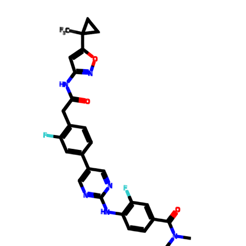 CN(C)C(=O)c1ccc(Nc2ncc(-c3ccc(CC(=O)Nc4cc(C5(C(F)(F)F)CC5)on4)c(F)c3)cn2)c(F)c1